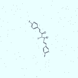 O=C(C=Cc1ccc(F)cc1)C(I)[S+]([O-])C=Cc1ccc(F)cc1